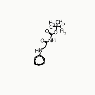 CC(C)(C)OC(=O)NC(=O)CNc1ccccc1